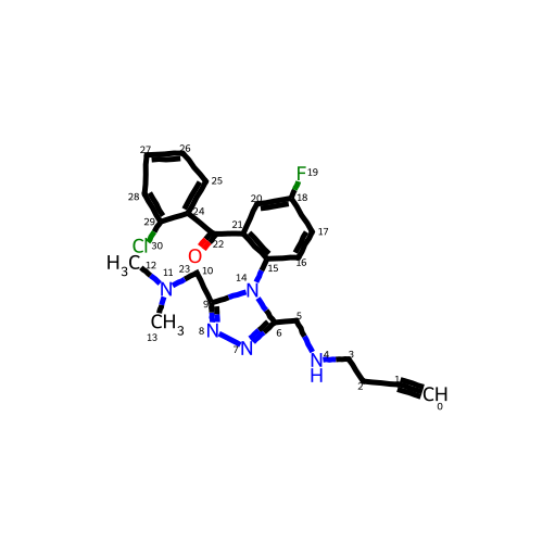 C#CCCNCc1nnc(CN(C)C)n1-c1ccc(F)cc1C(=O)c1ccccc1Cl